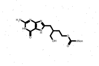 CCCCCCCCCC(=O)OCCC(CO)Cc1nc2nc(N)[nH]c(=O)c2[nH]1